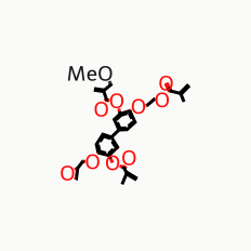 C=C(C)C(=O)OCCOc1ccc(-c2ccc(OCC3CO3)c(OC(=O)C(=C)C)c2)cc1OC(=O)C(=C)COC